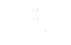 C=C/C=C/CCCOc1ccc(OCCC/C=C/C=C)c(-c2cc(OCCC/C=C/C=C)ccc2OCCC/C=C/C=C)c1